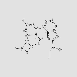 CCC(O)c1cc2nccc(-c3cc(Cl)cc(C)c3OCC3CN(C)C3)c2s1